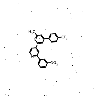 Cc1cc(-c2ccc(C(F)(F)F)cc2)cc(-c2ccnc(-c3cccc([N+](=O)[O-])c3)c2)n1